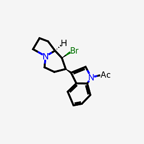 CC(=O)n1cc([C@H]2CCN3CCC[C@H]3[C@H]2Br)c2ccccc21